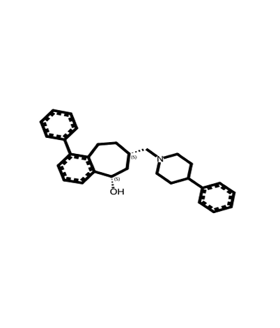 O[C@H]1C[C@@H](CN2CCC(c3ccccc3)CC2)CCc2c(-c3ccccc3)cccc21